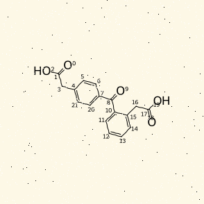 O=C(O)Cc1ccc(C(=O)c2ccccc2CC(=O)O)cc1